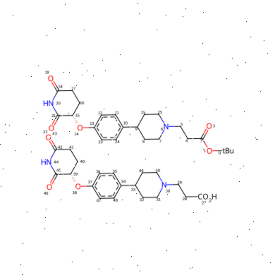 CC(C)(C)OC(=O)CCN1CCC(c2ccc(O[C@H]3CCC(=O)NC3=O)cc2)CC1.O=C(O)CCN1CCC(c2ccc(O[C@H]3CCC(=O)NC3=O)cc2)CC1